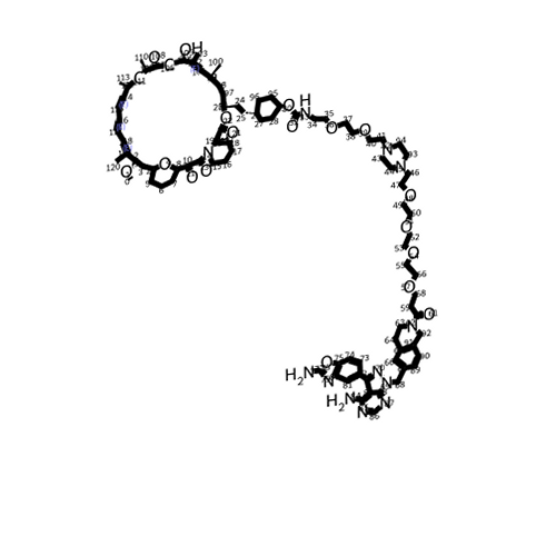 CO[C@H]1CC2CCCC(O2)C(=O)C(=O)N2CCCC[C@H]2C(=O)O[C@H](CC[C@H]2CC[C@H](OC(=O)NCCOCCOCCN3CCN(CCOCCOCCOCCOCCC(=O)N4CCc5cc(Cn6nc(-c7ccc8oc(N)nc8c7)c7c(N)ncnc76)ccc5C4)CC3)CC2)CC[C@H](C)/C=C(\C)[C@@H](O)CC(=O)[C@H](C)C[C@H](C)/C=C/C=C/C=C/1C